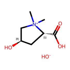 C[N+]1(C)C[C@H](O)C[C@H]1C(=O)O.[OH-]